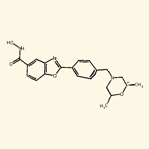 CC1CN(Cc2ccc(-c3nc4cc(C(=O)NO)ccc4o3)cc2)C[C@@H](C)O1